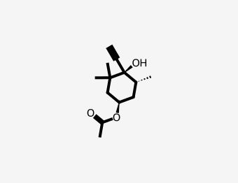 C#C[C@]1(O)[C@H](C)C[C@@H](OC(C)=O)CC1(C)C